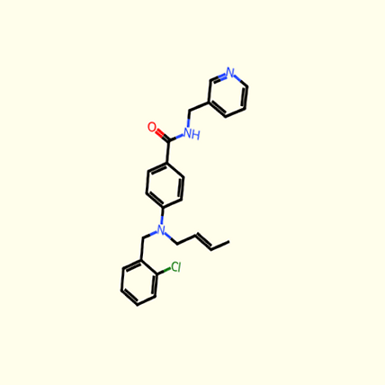 CC=CCN(Cc1ccccc1Cl)c1ccc(C(=O)NCc2cccnc2)cc1